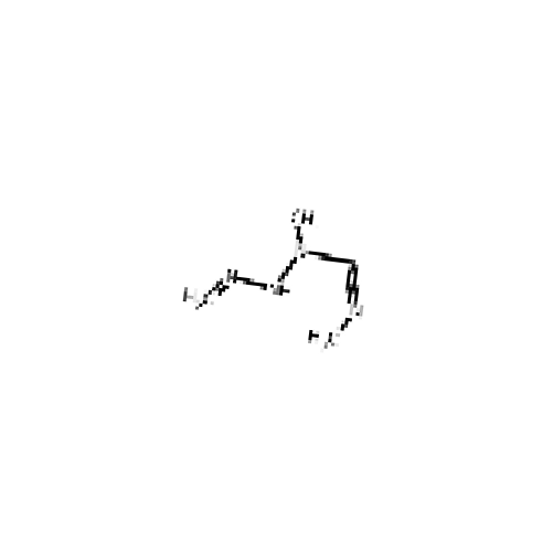 C=NNN(C)/C=N\C